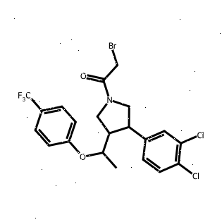 CC(Oc1ccc(C(F)(F)F)cc1)C1CN(C(=O)CBr)CC1c1ccc(Cl)c(Cl)c1